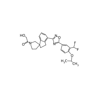 CC(C)Oc1ccc(-c2nc(-c3cccc4c3CCC43CCN(C(=O)CO)C3)no2)cc1C(F)F